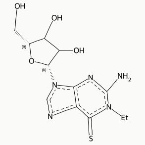 CCn1c(N)nc2c(ncn2[C@@H]2O[C@H](CO)C(O)C2O)c1=S